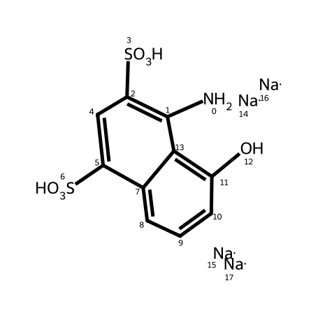 Nc1c(S(=O)(=O)O)cc(S(=O)(=O)O)c2cccc(O)c12.[Na].[Na].[Na].[Na]